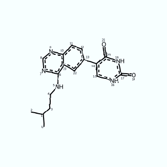 CC(C)CCNc1ncnc2ccc(-c3c[nH]c(=O)[nH]c3=O)cc12